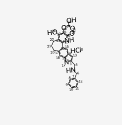 Cl.Cn1c(CNCc2ccccc2)cc2cc3c(cc21)CCCc1c-3[nH]c(=O)c(OC(=O)O)c1O